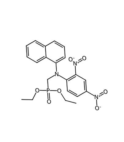 CCOP(=O)(CN(c1ccc([N+](=O)[O-])cc1[N+](=O)[O-])c1cccc2ccccc12)OCC